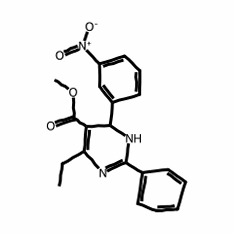 CCC1=C(C(=O)OC)C(c2cccc([N+](=O)[O-])c2)NC(c2ccccc2)=N1